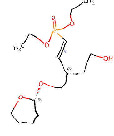 CCOP(=O)(/C=C/[C@H](CCO)CO[C@@H]1CCCCO1)OCC